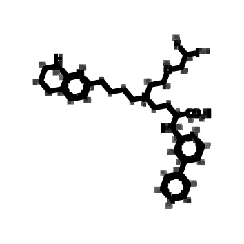 O=C(O)C(CCN(CCCCc1ccc2c(n1)NCCC2)CCOCC(F)F)Nc1cc(-c2ccncc2)ccn1